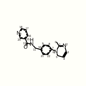 CC1=NC#CCN1c1ccc(CNC(=O)c2cccnc2)cc1